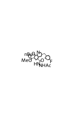 CCCCOc1c(C(=O)OC)cc(C(=O)NNC(C)=O)c2cc(Cc3ccc(F)cc3)cnc12